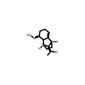 C/C(Cl)=C1/[C@H]2CC[C@@H]1C1C2=CCCC1=NO